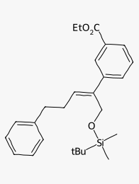 CCOC(=O)c1cccc(C(=CCCc2ccccc2)CO[Si](C)(C)C(C)(C)C)c1